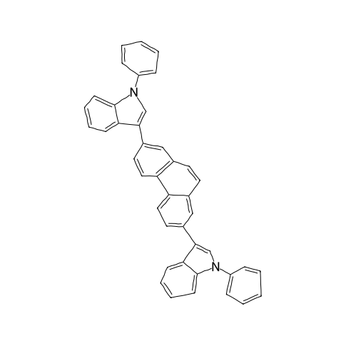 c1ccc(-n2cc(-c3ccc4c(ccc5cc(-c6cn(-c7ccccc7)c7ccccc67)ccc54)c3)c3ccccc32)cc1